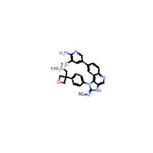 CCOC(=O)CC1(c2ccc(-n3/c(=N\C#N)[nH]c4cnc5ccc(-c6cnc(N)c(C(F)(F)F)c6)cc5c43)cc2)COC1